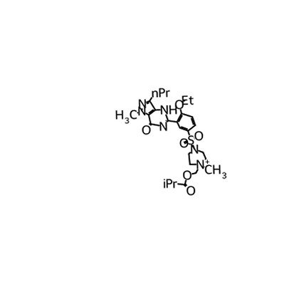 CCCc1nn(C)c2c(=O)nc(-c3cc(S(=O)(=O)N4CC[N+](C)(COC(=O)C(C)C)CC4)ccc3OCC)[nH]c12